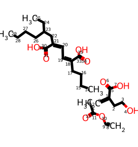 C=C(CCO)C(=O)O.C=COC(C)=O.CCCCC(=CC=C(CC(CC)CCCC)C(=O)O)C(=O)O